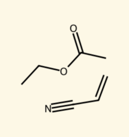 C=CC#N.CCOC(C)=O